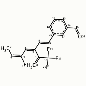 C=C(C(=C\C(F)=C/C)/C=C/c1cccc(C=O)c1)C(F)(F)F